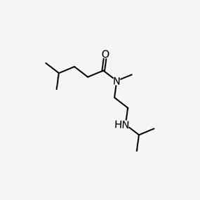 CC(C)CCC(=O)N(C)CCNC(C)C